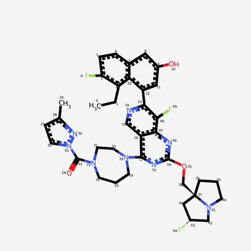 CCc1c(F)ccc2cc(O)cc(-c3ncc4c(N5CCCN(C(=O)n6ccc(C)n6)CC5)nc(OC[C@@]56CCCN5C[C@H](F)C6)nc4c3F)c12